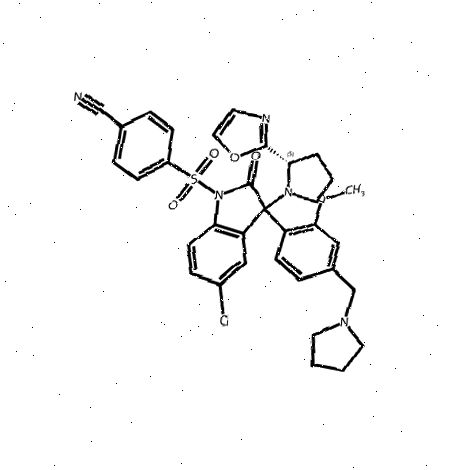 COc1cc(CN2CCCC2)ccc1C1(N2CCC[C@H]2c2ncco2)C(=O)N(S(=O)(=O)c2ccc(C#N)cc2)c2ccc(Cl)cc21